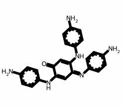 Nc1ccc(/N=C2/C=C(Nc3ccc(N)cc3)C(=O)C=C2Nc2ccc(N)cc2)cc1